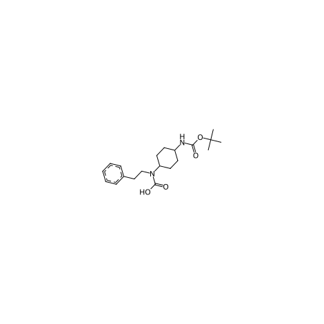 CC(C)(C)OC(=O)NC1CCC(N(CCc2ccccc2)C(=O)O)CC1